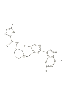 Cc1c[nH]c(C(=O)N[C@@H]2CCC[C@H](Nc3nc(-c4c[nH]c5c(F)cc(Cl)cc45)ncc3F)C2)n1